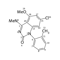 CNc1nc(=O)n(-c2ccccc2C)c2cc(Cl)cc(OC)c12